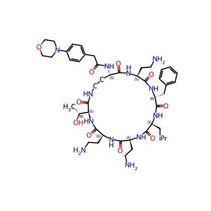 CC(C)C[C@@H]1NC(=O)[C@@H](Cc2ccccc2)NC(=O)[C@H](CCN)NC(=O)[C@@H](NC(=O)Cc2ccc(N3CCOCC3)cc2)CCNC(=O)[C@H]([C@@H](C)O)NC(=O)[C@H](CCN)NC(=O)[C@H](CCN)NC1=O